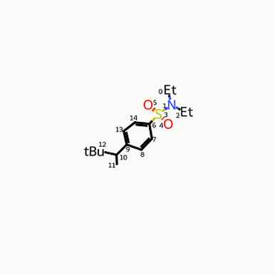 CCN(CC)S(=O)(=O)c1ccc(C(C)C(C)(C)C)cc1